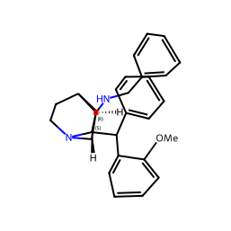 COc1ccccc1C(c1ccccc1)[C@H]1[C@H](NCc2ccccc2)C2CCN1CC2